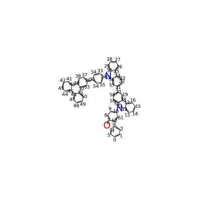 c1ccc2c(c1)oc1ccc(-n3c4ccccc4c4cc(-c5ccc6c7ccccc7n(-c7ccc(-c8ccc9c%10ccccc%10c%10ccccc%10c9c8)cc7)c6c5)ccc43)cc12